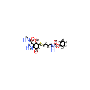 CNC(=O)c1n[nH]c2c1C(=O)C(SCCCCNC(=O)Oc1ccccc1)=CC2=O